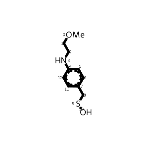 COCCNc1ccc(CSO)cc1